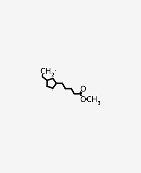 [CH2]CC1C[CH]C(CCCCC(=O)OC)C1